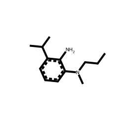 CCCN(C)c1cccc(C(C)C)c1N